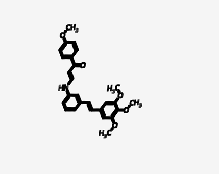 COc1ccc(C(=O)C=CNc2cccc(C=Cc3cc(OC)c(OC)c(OC)c3)c2)cc1